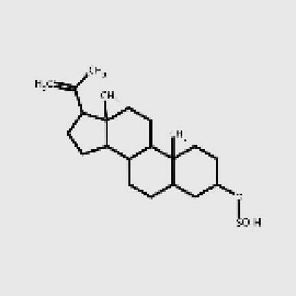 C=C(C)C1CCC2C3CCC4CC(OS(=O)(=O)O)CCC4(C)C3CCC12C